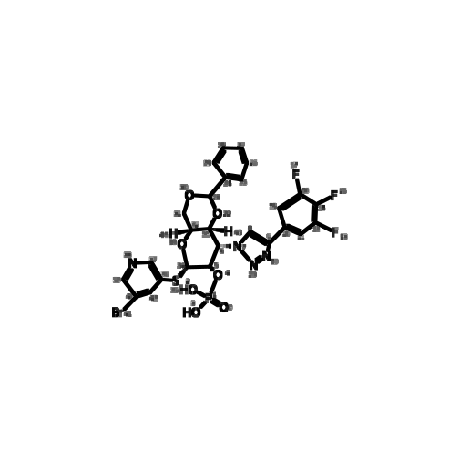 O=P(O)(O)O[C@@H]1[C@@H](n2cc(-c3cc(F)c(F)c(F)c3)nn2)[C@H]2OC(c3ccccc3)OC[C@H]2O[C@@H]1Sc1cncc(Br)c1